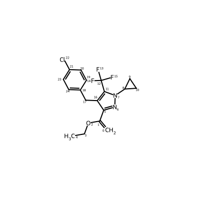 C=C(OCC)c1nn(C2CC2)c(C(F)(F)F)c1Cc1ccc(Cl)cc1